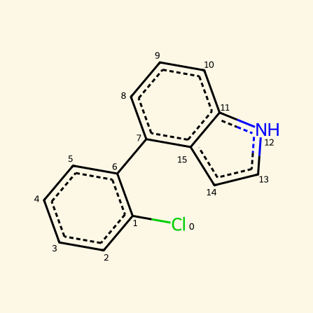 Clc1ccccc1-c1cccc2[nH]ccc12